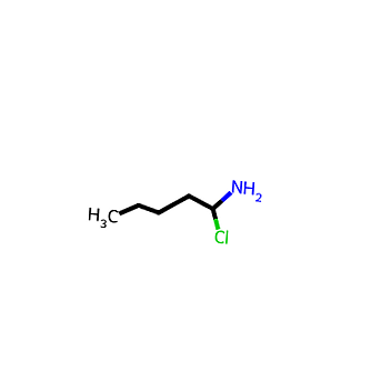 CCCCC(N)Cl